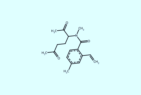 C=Cc1cc(C)ccc1C(=O)N(C)C(CCC(C)=O)C(C)=O